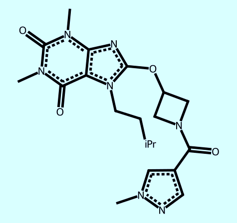 CC(C)CCn1c(OC2CN(C(=O)c3cnn(C)c3)C2)nc2c1c(=O)n(C)c(=O)n2C